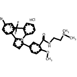 COc1ccc(-c2ccc(-c3ccc(Br)cc3)n2-c2ccccc2C(F)(F)F)cc1C(=O)NCCN(C)C.Cl